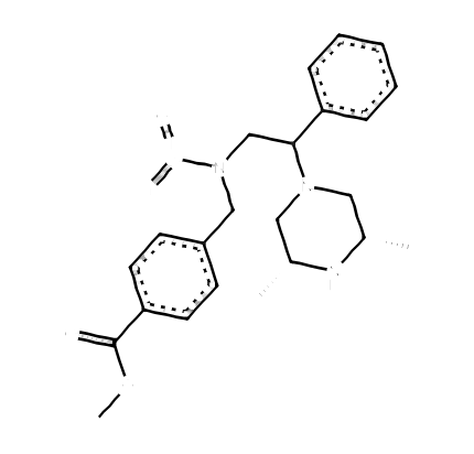 COC(=O)c1ccc(CN(CC(c2ccccc2)N2C[C@@H](C)N[C@@H](C)C2)[SH](=O)=O)cc1